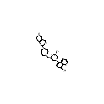 C[C@@H]1CN(c2ccc(C#N)c3ncccc23)C[C@H](CN2CCCN(c3ncc4c(n3)CCNC4)CC2)O1